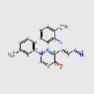 COc1ccccc1N/C(=C\C=N)c1nn(-c2cccc(C)c2)ccc1=O